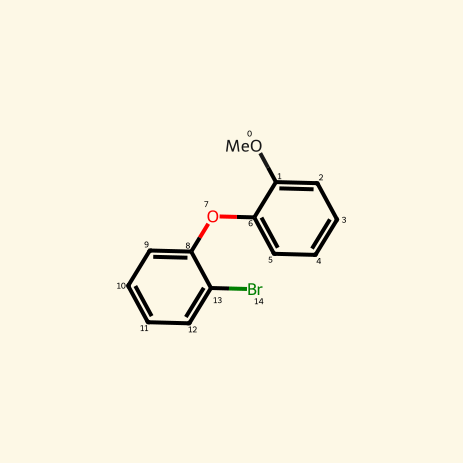 COc1ccccc1Oc1ccccc1Br